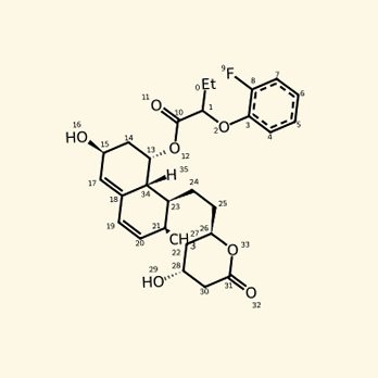 CCC(Oc1ccccc1F)C(=O)O[C@H]1C[C@H](O)C=C2C=C[C@H](C)[C@H](CC[C@@H]3C[C@@H](O)CC(=O)O3)[C@H]21